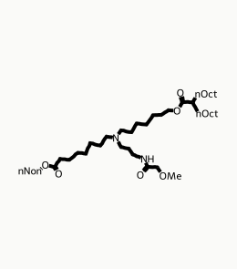 CCCCCCCCCOC(=O)CCCCCCCN(CCCCCCCOC(=O)C(CCCCCCCC)CCCCCCCC)CCCNC(=O)COC